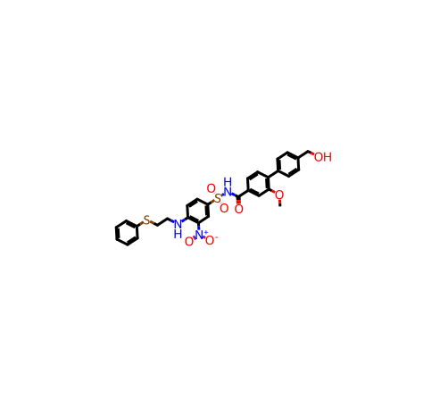 COc1cc(C(=O)NS(=O)(=O)c2ccc(NCCSc3ccccc3)c([N+](=O)[O-])c2)ccc1-c1ccc(CO)cc1